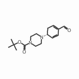 CC(C)(C)OC(=O)N1CCN([C@H]2C=CC(C=O)=CC2)CC1